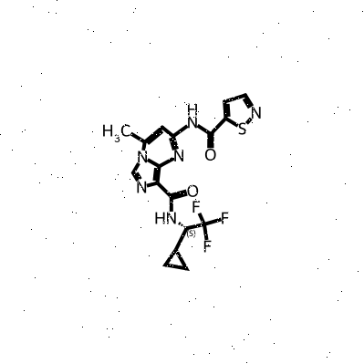 Cc1cc(NC(=O)c2ccns2)nc2c(C(=O)N[C@@H](C3CC3)C(F)(F)F)ncn12